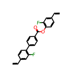 C=Cc1ccc(OC(=O)c2ccc(-c3ccc(C=C)cc3F)cc2)c(F)c1